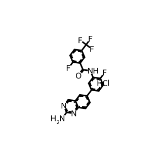 Cl.Nc1ncc2cc(-c3ccc(F)c(NC(=O)c4cc(C(F)(F)F)ccc4F)c3)ccc2n1